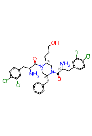 NC(Cc1ccc(Cl)c(Cl)c1)C(=O)N1C[C@@H](Cc2ccccc2)N(C(=O)[C@H](N)Cc2ccc(Cl)c(Cl)c2)C[C@@H]1CCCO